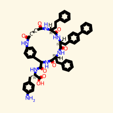 Nc1ccc(C[C@H](NC(=O)C2NC(=O)[C@@H](Cc3ccccc3)NC(=O)[C@H](Cc3ccc(-c4ccccc4)cc3)NC(=O)[C@@H](CCc3ccccc3)NC(=O)CCC(=O)Nc3ccc2cc3)C(=O)O)cc1